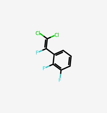 FC(=C(Cl)Cl)c1cccc(F)c1F